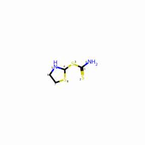 NC(=S)SC1NCCS1